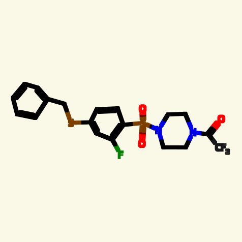 O=C(N1CCN(S(=O)(=O)c2ccc(SCc3ccccc3)cc2F)CC1)C(F)(F)F